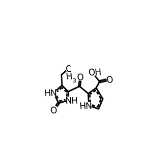 CCc1[nH]c(=O)[nH]c1C(=O)c1[nH]ccc1C(=O)O